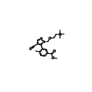 COC(=O)c1ccc(C)c(-c2c(C#N)cnn2COCC[Si](C)(C)C)c1